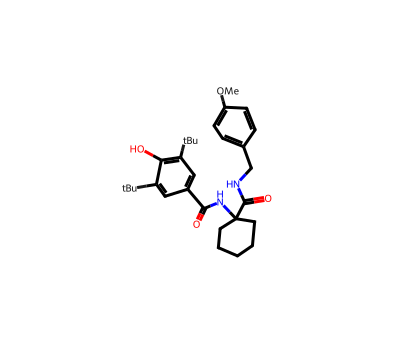 COc1ccc(CNC(=O)C2(NC(=O)c3cc(C(C)(C)C)c(O)c(C(C)(C)C)c3)CCCCC2)cc1